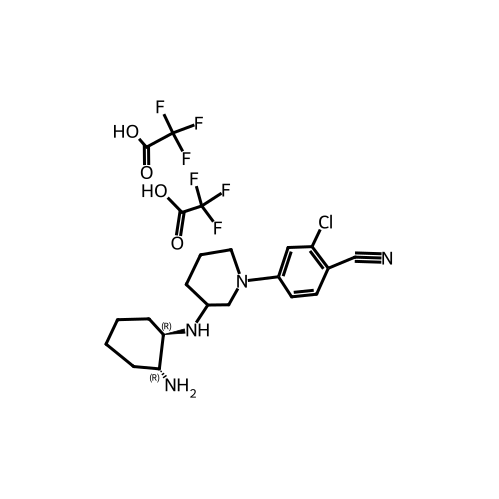 N#Cc1ccc(N2CCCC(N[C@@H]3CCCC[C@H]3N)C2)cc1Cl.O=C(O)C(F)(F)F.O=C(O)C(F)(F)F